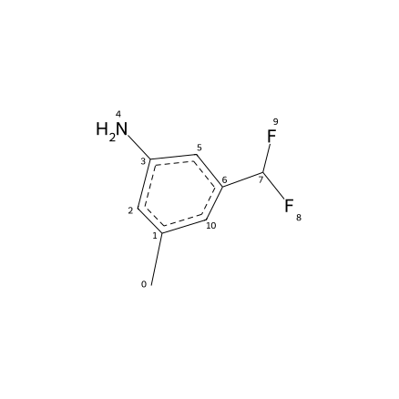 Cc1cc(N)cc(C(F)F)c1